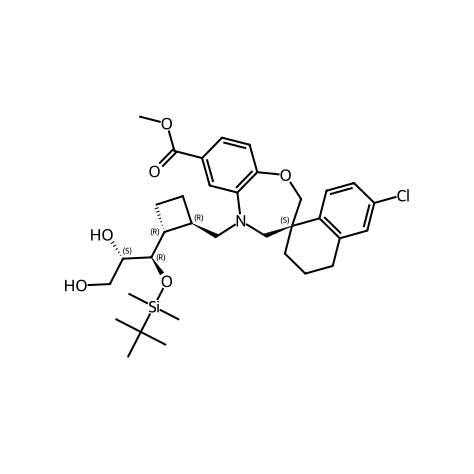 COC(=O)c1ccc2c(c1)N(C[C@@H]1CC[C@H]1[C@@H](O[Si](C)(C)C(C)(C)C)[C@@H](O)CO)C[C@@]1(CCCc3cc(Cl)ccc31)CO2